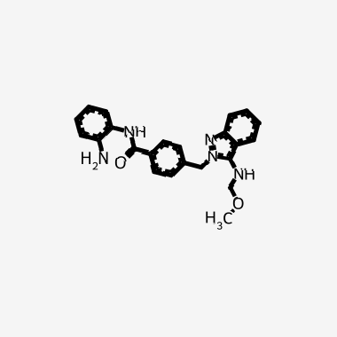 COCNc1c2ccccc2nn1Cc1ccc(C(=O)Nc2ccccc2N)cc1